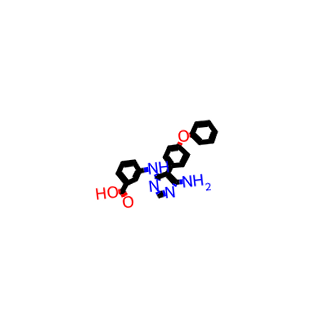 Nc1ncnc(Nc2cccc(C(=O)O)c2)c1-c1ccc(Oc2ccccc2)cc1